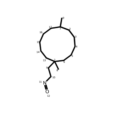 CC1CCCCCC(C)(CCN=O)CCCCC1